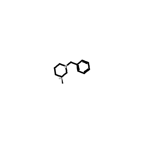 C[C@H]1CCCN(Cc2ccccc2)C1